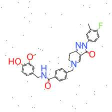 COc1cc(CNC(=O)c2ccc(CN3C=C4C(=O)N(c5ccc(F)c(C)c5)N=C4CC3)cc2)ccc1O